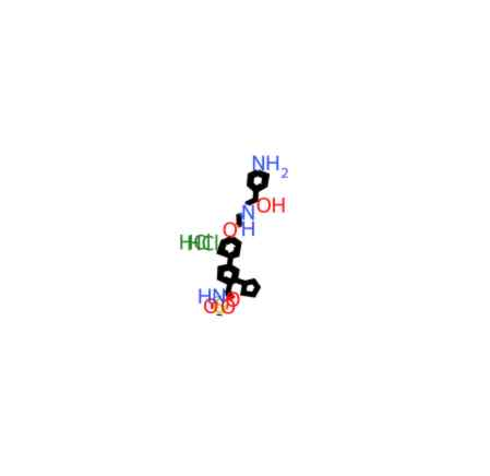 CS(=O)(=O)NC(=O)c1ccc(-c2ccc(OCCNC[C@H](O)c3ccc(N)cc3)cc2)cc1C1CCCC1.Cl.Cl